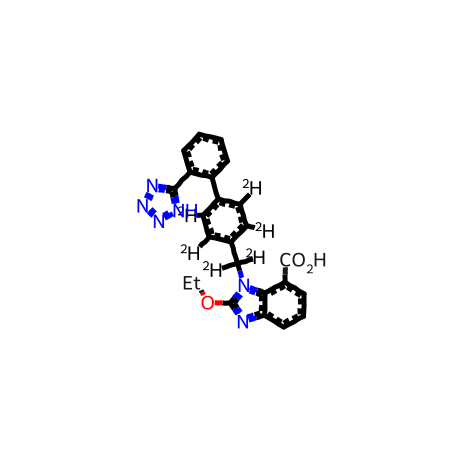 [2H]c1c([2H])c(C([2H])([2H])n2c(OCC)nc3cccc(C(=O)O)c32)c([2H])c([2H])c1-c1ccccc1-c1nnn[nH]1